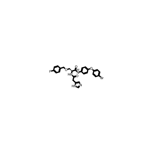 O=C(Cc1cnc[nH]1)N[C@@H](COCc1ccc(F)cc1)C(=O)Nc1ccc(Oc2ccc(Br)cc2)cc1